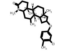 Cc1ccc(OC2C[C@H]3[C@@H]4C(C)CC5N(C)C(=O)CC[C@]5(C)[C@@H]4CC[C@]3(C)C2)cc1Cl